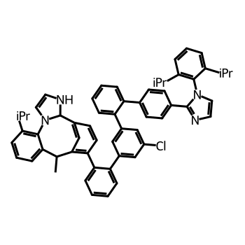 CC(C)c1cccc2c1N1C=CNC1c1ccc(-c3ccccc3-c3cc(Cl)cc(-c4ccccc4-c4ccc(-c5nccn5-c5c(C(C)C)cccc5C(C)C)cc4)c3)c(c1)C2C